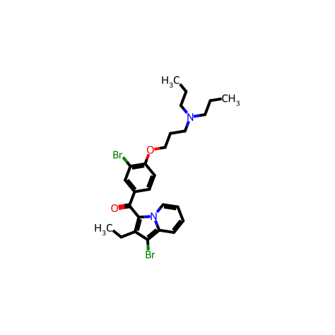 CCCN(CCC)CCCOc1ccc(C(=O)c2c(CC)c(Br)c3ccccn23)cc1Br